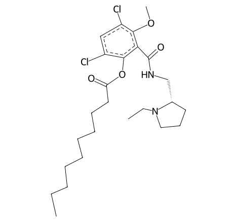 CCCCCCCCCC(=O)Oc1c(Cl)cc(Cl)c(OC)c1C(=O)NC[C@@H]1CCCN1CC